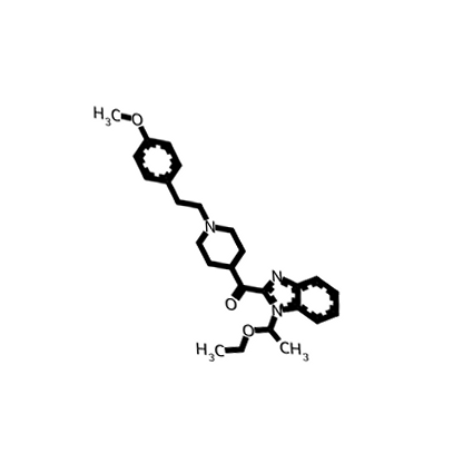 CCOC(C)n1c(C(=O)C2CCN(CCc3ccc(OC)cc3)CC2)nc2ccccc21